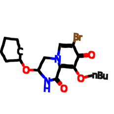 CCCCOc1c2n(cc(Br)c1=O)CC(OC1CCCCC1)NC2=O